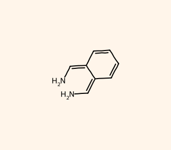 N/C=c1/cccc/c1=C/N